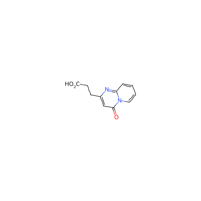 O=C(O)CCc1cc(=O)n2ccccc2n1